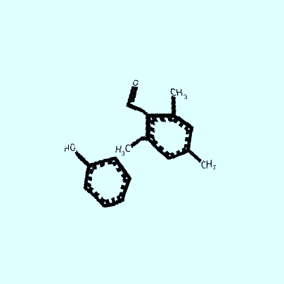 Cc1cc(C)c(C=O)c(C)c1.Oc1ccccc1